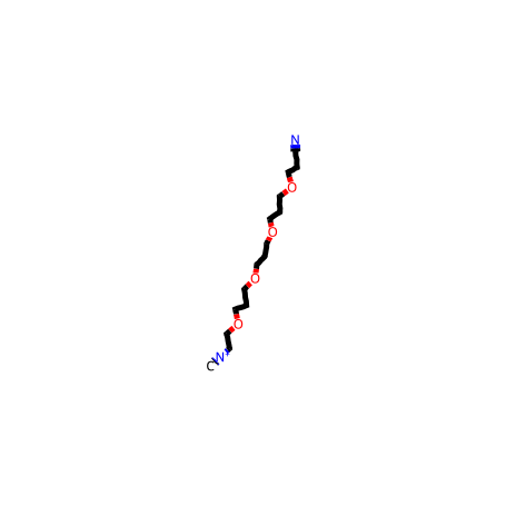 [C-]#[N+]CCOCCCOCCCOCCCOCCC#N